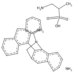 CC(CN)S(=O)(=O)O.N.Nc1ccc2ccccc2c1-c1c2cc3ccccc3c1N(c1ccccc1)C2